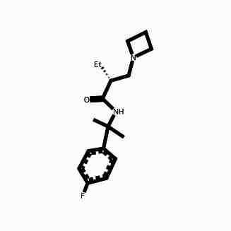 CC[C@H](CN1CCC1)C(=O)NC(C)(C)c1ccc(F)cc1